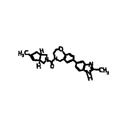 CC1=C[C@H]2CN(C(=O)N3CCOc4ccc(-c5ccc6[nH]c(C)nc6c5)cc4C3)C[C@H]2C1